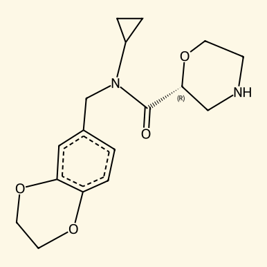 O=C([C@H]1CNCCO1)N(Cc1ccc2c(c1)OCCO2)C1CC1